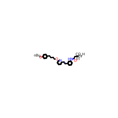 CCCCOc1ccc(CCCCOc2cccc(/C=C/c3cccc(NC(=O)CC(CC)(CC)C(=O)O)c3)n2)cc1